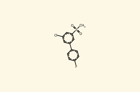 CS(=O)(=O)c1[c]c(-c2ccc(F)cc2)cc(Cl)c1